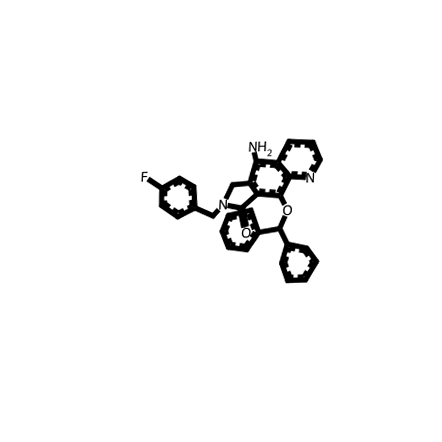 Nc1c2c(c(OC(c3ccccc3)c3ccccc3)c3ncccc13)C(=O)N(Cc1ccc(F)cc1)C2